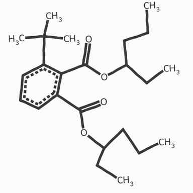 CCCC(CC)OC(=O)c1cccc(C(C)(C)C)c1C(=O)OC(CC)CCC